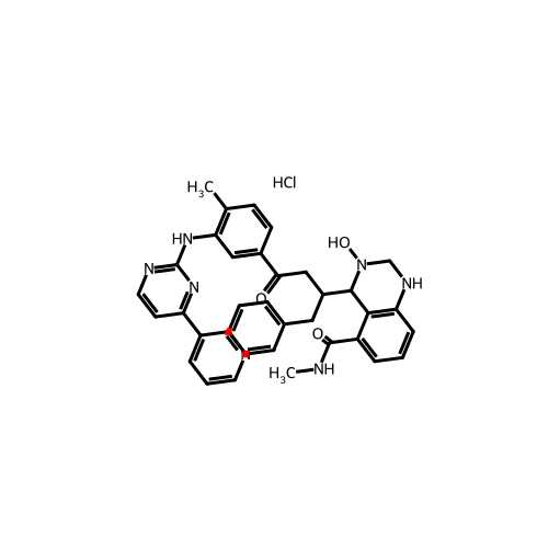 CNC(=O)c1cccc2c1C(C(CC(=O)c1ccc(C)c(Nc3nccc(-c4cccnc4)n3)c1)Cc1ccccc1)N(O)CN2.Cl